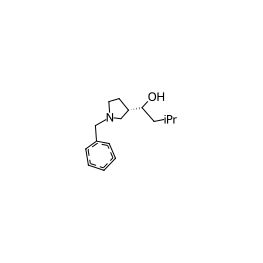 CC(C)CC(O)[C@H]1CCN(Cc2ccccc2)C1